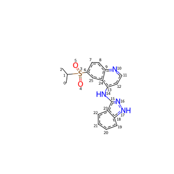 CC(C)S(=O)(=O)c1ccc2nccc(Nc3n[nH]c4ccccc34)c2c1